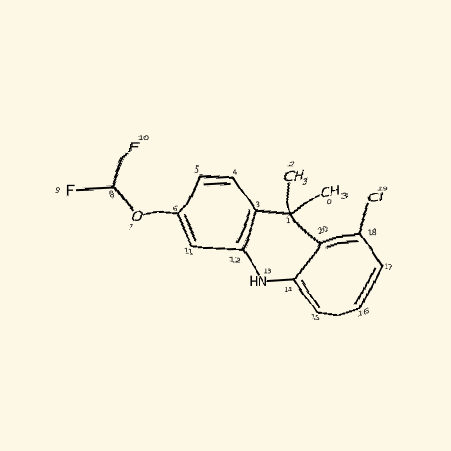 CC1(C)c2ccc(OC(F)F)cc2Nc2cccc(Cl)c21